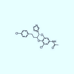 CC(=O)Nc1cc(Cl)c(OC(CCc2ccc(Cl)cc2)Cn2ccnc2)c(Cl)c1